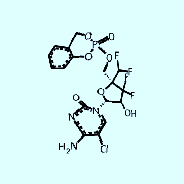 Nc1nc(=O)n([C@@H]2O[C@@](COP3(=O)OCc4ccccc4O3)(C(F)F)C(F)(F)[C@H]2O)cc1Cl